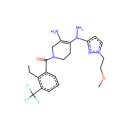 CCc1c(C(=O)N2CCC(N(N)c3ccn(CCOC)n3)=C(N)C2)cccc1C(F)(F)F